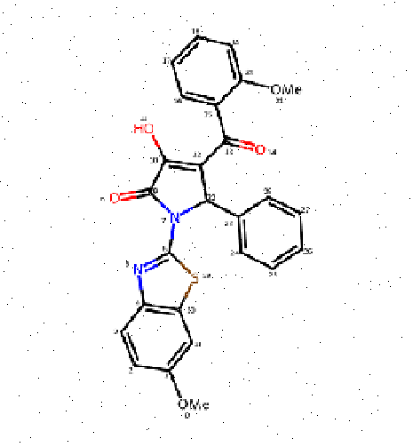 COc1ccc2nc(N3C(=O)C(O)=C(C(=O)c4ccccc4OC)C3c3ccccc3)sc2c1